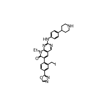 CCn1c(=O)c(-c2ccc(-c3nnco3)cc2CI)cc2cnc(Nc3ccc(C4CCNCC4)cc3)nc21